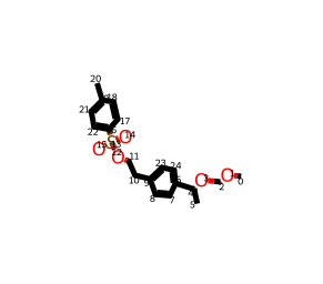 COCOC(C)c1ccc(CCOS(=O)(=O)c2ccc(C)cc2)cc1